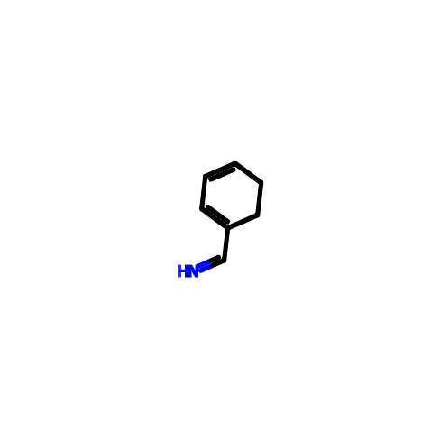 N=CC1=CC=CCC1